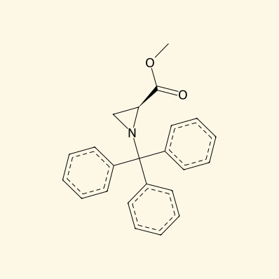 COC(=O)[C@@H]1CN1C(c1ccccc1)(c1ccccc1)c1ccccc1